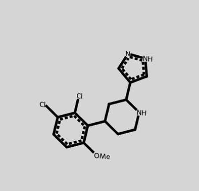 COc1ccc(Cl)c(Cl)c1C1CCNC(c2cn[nH]c2)C1